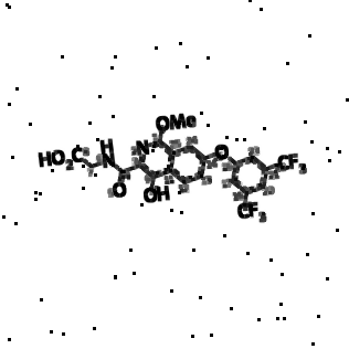 COc1nc(C(=O)NCC(=O)O)c(O)c2ccc(Oc3cc(C(F)(F)F)cc(C(F)(F)F)c3)cc12